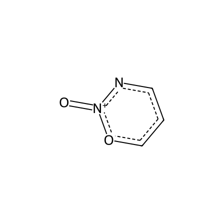 O=[n+]1nccco1